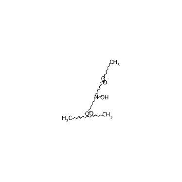 CCCC/C=C/CCC(CC/C=C/CCCC)OC(=O)CCCCCCCN(CCO)CCCCCCCC(=O)OCCCCCCCCC